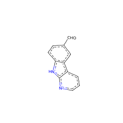 O=Cc1ccc2[nH]c3ncccc3c2c1